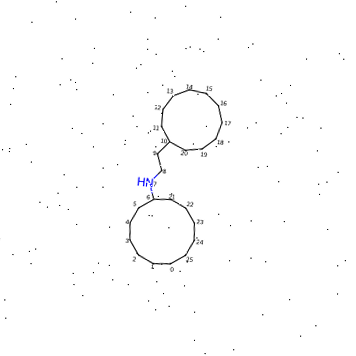 C1CCCCCC(NCCC2CCCCCCCCCC2)CCCCC1